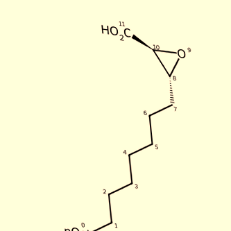 CCCCCCCCCCCCCCC[C@H]1O[C@@H]1C(=O)O